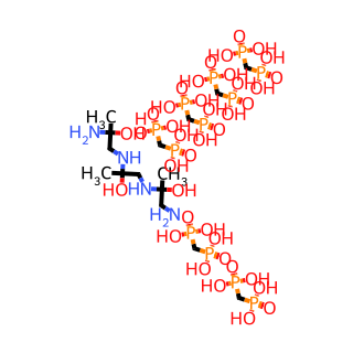 CC(N)(O)CNC(C)(O)CNC(C)(O)CN.O=P(O)(O)CP(=O)(O)O.O=P(O)(O)CP(=O)(O)O.O=P(O)(O)CP(=O)(O)O.O=P(O)(O)CP(=O)(O)O.O=P(O)(O)CP(=O)(O)O.O=P(O)(O)CP(=O)(O)O